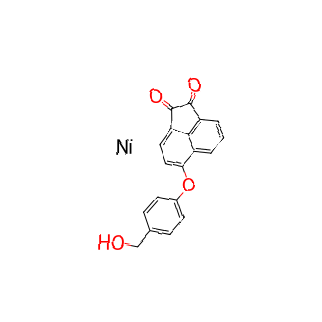 O=C1C(=O)c2ccc(Oc3ccc(CO)cc3)c3cccc1c23.[Ni]